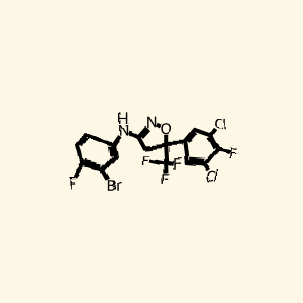 Fc1ccc(NC2=NOC(c3cc(Cl)c(F)c(Cl)c3)(C(F)(F)F)C2)cc1Br